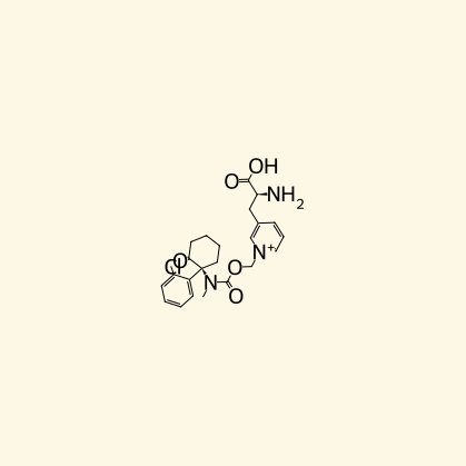 CN(C(=O)OC[n+]1cccc(C[C@H](N)C(=O)O)c1)[C@]1(c2ccccc2Cl)CCCCC1=O